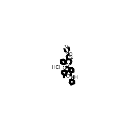 Cc1cccc(-c2c(C(=O)Nc3ccccc3)cccc2C(=O)N2CCC(F)(F)C(=CC(=O)N3CCN(C)CC3)c3ccccc32)c1.Cl